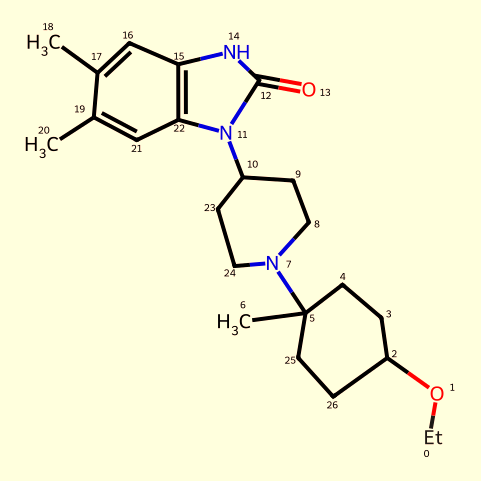 CCOC1CCC(C)(N2CCC(n3c(=O)[nH]c4cc(C)c(C)cc43)CC2)CC1